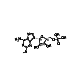 CSc1nc(N)c2ncn([C@@H]3O[C@H](COP(=O)(O)O)[C@@H](O)[C@H]3O)c2n1